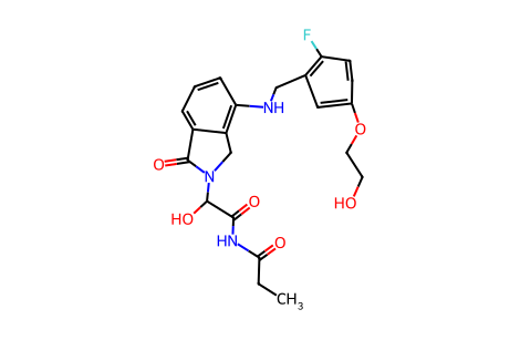 CCC(=O)NC(=O)C(O)N1Cc2c(NCc3cc(OCCO)ccc3F)cccc2C1=O